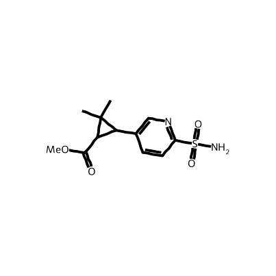 COC(=O)C1C(c2ccc(S(N)(=O)=O)nc2)C1(C)C